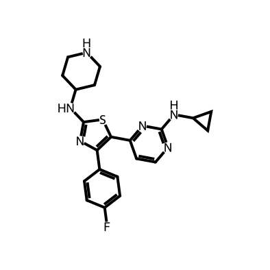 Fc1ccc(-c2nc(NC3CCNCC3)sc2-c2ccnc(NC3CC3)n2)cc1